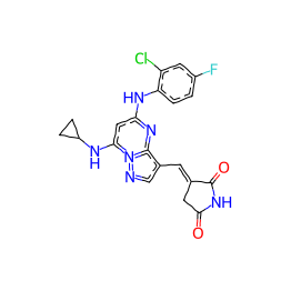 O=C1C/C(=C\c2cnn3c(NC4CC4)cc(Nc4ccc(F)cc4Cl)nc23)C(=O)N1